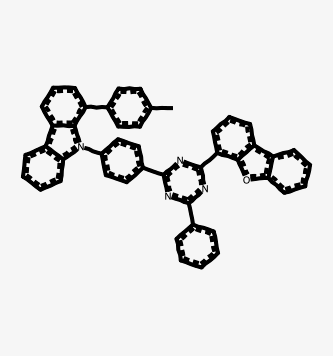 Cc1ccc(-c2cccc3c4ccccc4n(-c4ccc(-c5nc(-c6ccccc6)nc(-c6cccc7c6oc6ccccc67)n5)cc4)c23)cc1